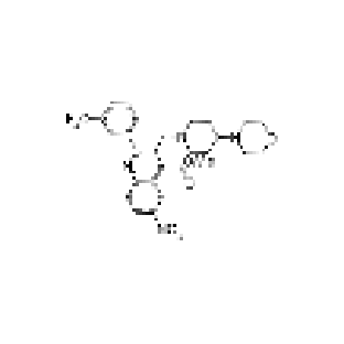 COC(=O)c1c(CN2CCC(N3CCOCC3)CC2)c(-c2cccc(C(F)(F)F)c2)nc2ccc([N+](=O)[O-])cc12